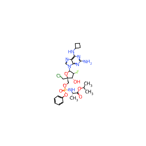 CC(C)OC(=O)[C@H](C)N[P@@](=O)(OC[C@@]1(CCl)O[C@@H](n2cnc3c(NC4CCC4)nc(N)nc32)[C@@H](F)[C@@H]1O)Oc1ccccc1